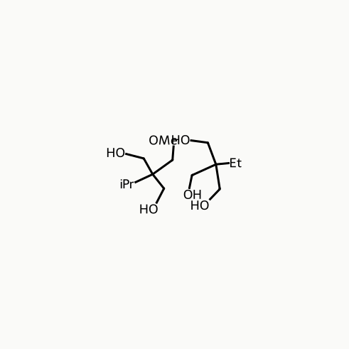 CCC(CO)(CO)CO.COCC(CO)(CO)C(C)C